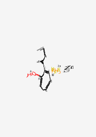 C=CCc1ccccc1O.P.S.[Zn]